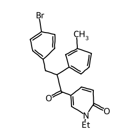 CCn1cc(C(=O)C(Cc2ccc(Br)cc2)c2cccc(C)c2)ccc1=O